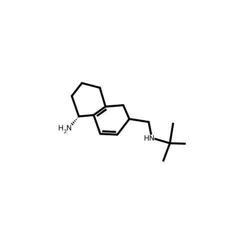 CC(C)(C)NCC1C=CC2=C(CCC[C@H]2N)C1